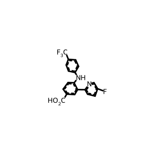 O=C(O)c1ccc(Nc2ccc(C(F)(F)F)cc2)c(-c2ccc(F)cn2)c1